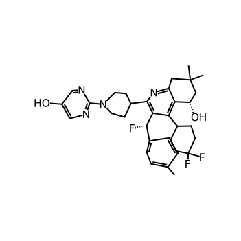 Cc1ccc([C@H](F)c2c(C3CCN(c4ncc(O)cn4)CC3)nc3c(c2C2CCC(F)(F)CC2)[C@@H](O)CC(C)(C)C3)cc1